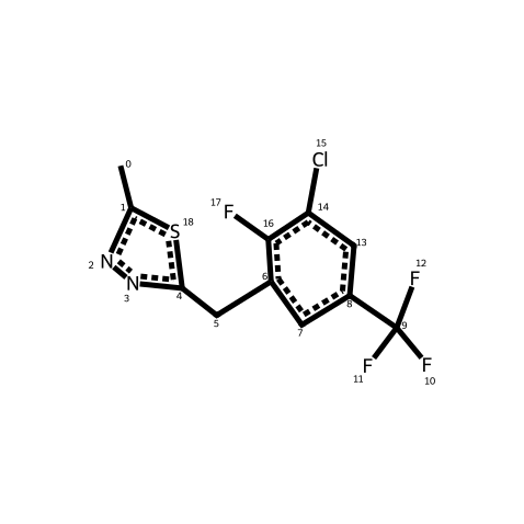 Cc1nnc(Cc2cc(C(F)(F)F)cc(Cl)c2F)s1